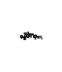 Nc1nc(CC(=O)NC2C(=O)N3C(C(=O)O)=C(c4nnc(-c5ccccc5)s4)CS[C@@H]23)cs1